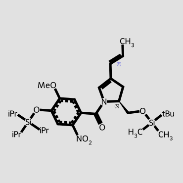 C/C=C/C1=CN(C(=O)c2cc(OC)c(O[Si](C(C)C)(C(C)C)C(C)C)cc2[N+](=O)[O-])[C@H](CO[Si](C)(C)C(C)(C)C)C1